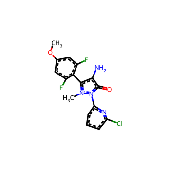 COc1cc(F)c(-c2c(N)c(=O)n(-c3cccc(Cl)n3)n2C)c(F)c1